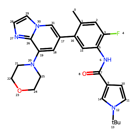 Cc1cc(F)c(NC(=O)c2ccn(C(C)(C)C)c2)cc1-c1cc(N2CCOCC2)c2nccn2c1